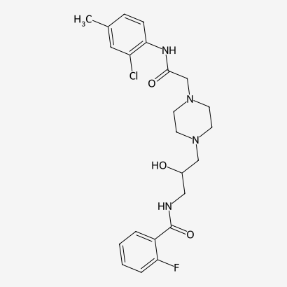 Cc1ccc(NC(=O)CN2CCN(CC(O)CNC(=O)c3ccccc3F)CC2)c(Cl)c1